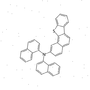 c1ccc2c(N(c3ccc4ccc5c6ccccc6sc5c4c3)c3cccc4ccccc34)cccc2c1